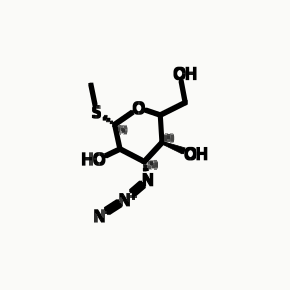 CS[C@@H]1OC(CO)[C@@H](O)[C@H](N=[N+]=[N-])C1O